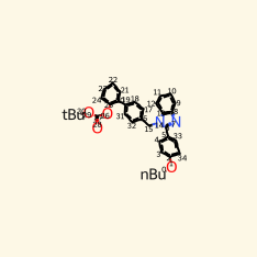 CCCCOc1ccc(-c2nc3ccccc3n2Cc2ccc(-c3ccccc3OC(=O)OC(C)(C)C)cc2)cc1